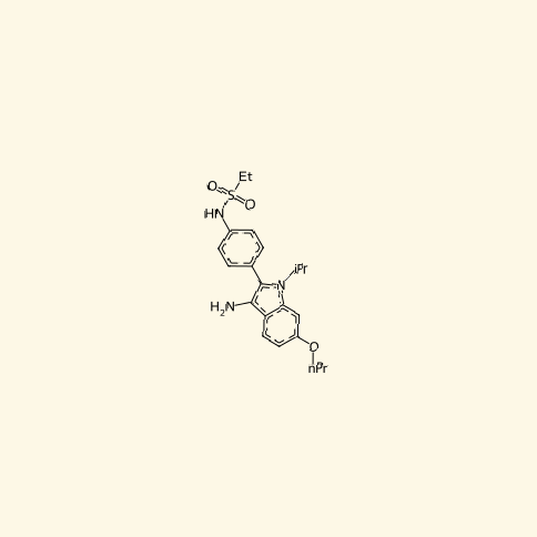 CCCOc1ccc2c(N)c(-c3ccc(NS(=O)(=O)CC)cc3)n(C(C)C)c2c1